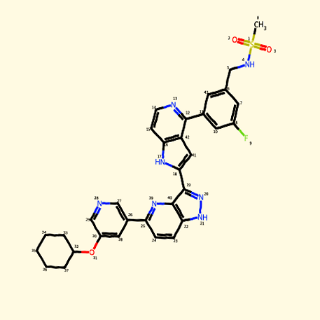 CS(=O)(=O)NCc1cc(F)cc(-c2nccc3[nH]c(-c4n[nH]c5ccc(-c6cncc(OC7CCCCC7)c6)nc45)cc23)c1